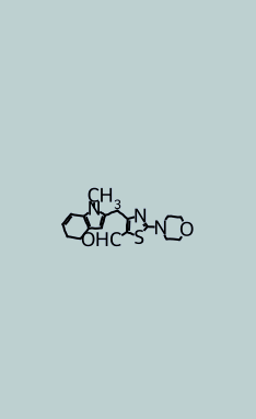 Cn1c(Cc2nc(N3CCOCC3)sc2C=O)cc2c1C=CCC2